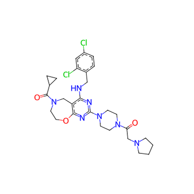 O=C(CN1CCCC1)N1CCN(c2nc(NCc3ccc(Cl)cc3Cl)c3c(n2)OCCN(C(=O)C2CC2)C3)CC1